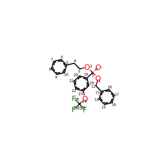 [O][C@](OCCc1ccccc1)(OCc1ccccc1)c1cccc(OC(F)(F)F)c1